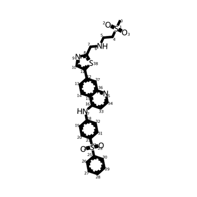 CS(=O)(=O)CCNCc1ncc(-c2ccc3c(Nc4ccc(S(=O)(=O)c5ccccc5)cc4)ccnc3c2)s1